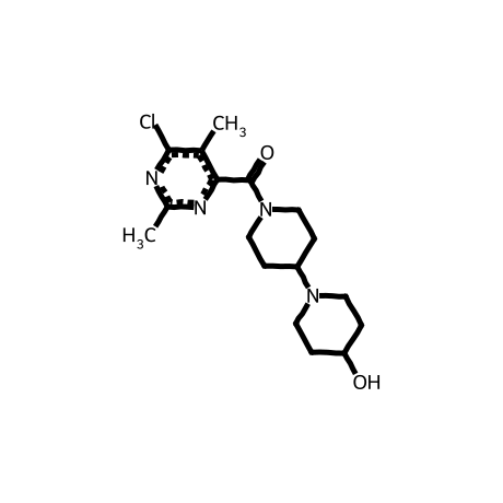 Cc1nc(Cl)c(C)c(C(=O)N2CCC(N3CCC(O)CC3)CC2)n1